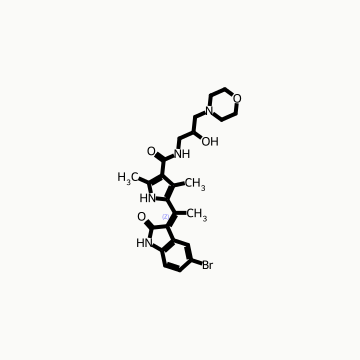 C/C(=C1/C(=O)Nc2ccc(Br)cc21)c1[nH]c(C)c(C(=O)NCC(O)CN2CCOCC2)c1C